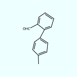 Cc1ccc(-c2ccccc2C=O)cc1